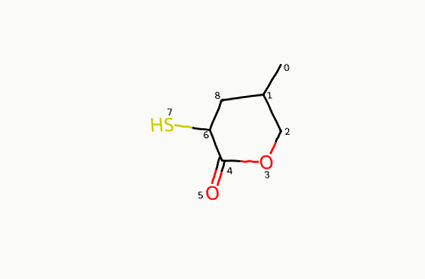 CC1COC(=O)C(S)C1